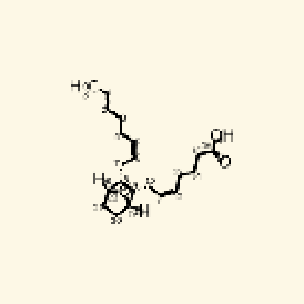 CCCCC/C=C\C[C@@H]1[C@H](C/C=C\CCCC(=O)O)[C@@H]2CC[C@H]1O2